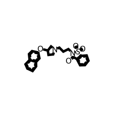 O=C1c2ccccc2S(=O)(=O)N1CCCN1CCC(Oc2ccc3ccccc3c2)C1